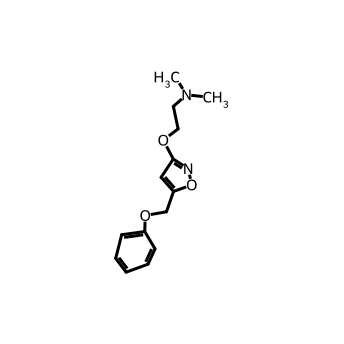 CN(C)CCOc1cc(COc2ccccc2)on1